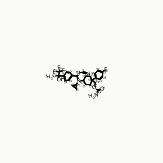 CC(O)(c1ccc(C(=NC#N)N(C2CC2)C2CCC(COC(N)=O)(c3ccc(F)cc3)CC2)cc1)C(F)(F)F